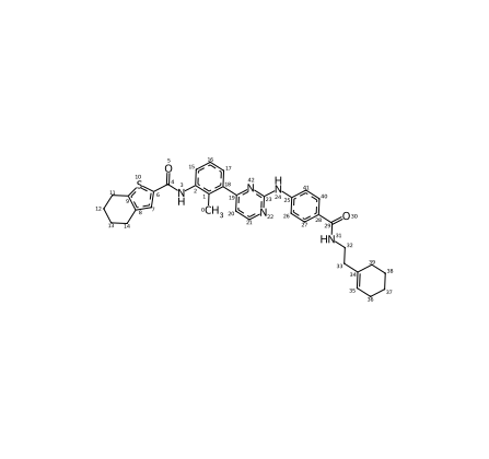 Cc1c(NC(=O)c2cc3c(s2)CCCC3)cccc1-c1ccnc(Nc2ccc(C(=O)NCCC3=CCCCC3)cc2)n1